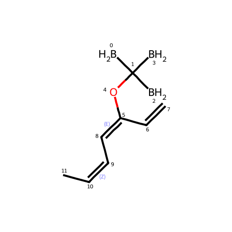 BC(B)(B)O/C(C=C)=C/C=C\C